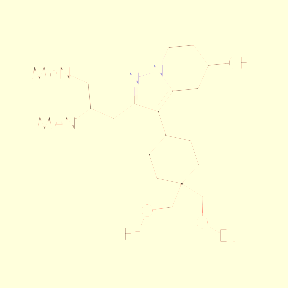 CCOCC1(COCC)CCC(c2c(CC(CNC)NC)nn3c2CC(C(F)(F)F)CC3)CC1